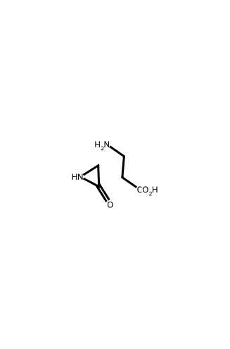 NCCC(=O)O.O=C1CN1